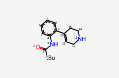 CC(C)(C)C(=O)Nc1ccccc1C1=CCNCC1